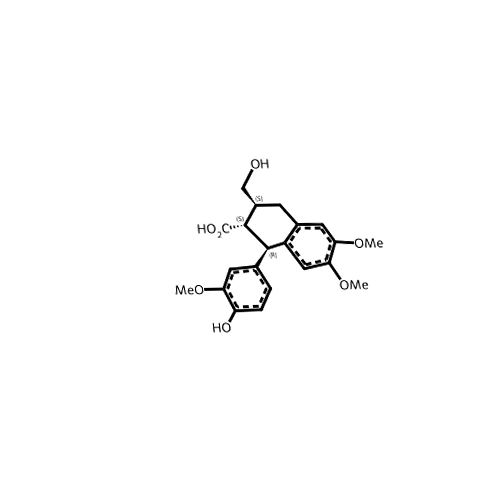 COc1cc([C@@H]2c3cc(OC)c(OC)cc3C[C@H](CO)[C@H]2C(=O)O)ccc1O